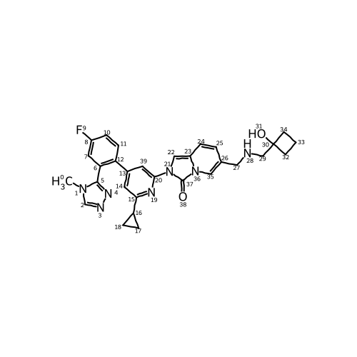 Cn1cnnc1-c1cc(F)ccc1-c1cc(C2CC2)nc(-n2cc3ccc(CNCC4(O)CCC4)cn3c2=O)c1